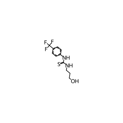 OCCCNC(=S)Nc1ccc(C(F)(F)F)cc1